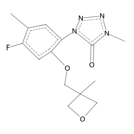 Cc1cc(-n2nnn(C)c2=O)c(OCC2(C)COC2)cc1F